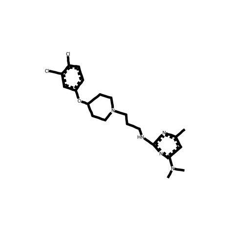 Cc1cc(N(C)C)nc(NCCCN2CCC(Oc3ccc(Cl)c(Cl)c3)CC2)n1